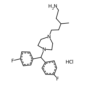 CC(CCN)CCN1CCN(C(c2ccc(F)cc2)c2ccc(F)cc2)CC1.Cl